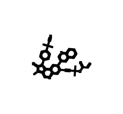 C=CC(=O)OC(C)(C)C#Cc1cc2ncc3c(c2cc1-c1cnc2ccccc2c1)n(-c1ccc(C(C)(C)C#N)cc1)c(=O)n3C